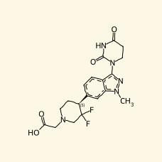 Cn1nc(N2CCC(=O)NC2=O)c2ccc([C@@H]3CCN(CC(=O)O)CC3(F)F)cc21